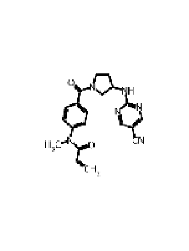 C=CC(=O)N(C)c1ccc(C(=O)N2CCC(Nc3ncc(C#N)cn3)C2)cc1